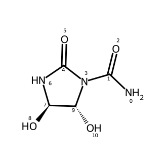 NC(=O)N1C(=O)N[C@H](O)[C@H]1O